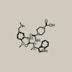 COc1ccc(CN(C)C)cc1NC(=O)[C@H](NC(=O)N1CCN(C(=O)O)CC1)[C@H](C)c1c[nH]c2ccccc12